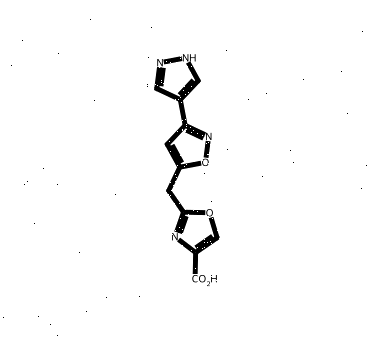 O=C(O)c1coc(Cc2cc(-c3cn[nH]c3)no2)n1